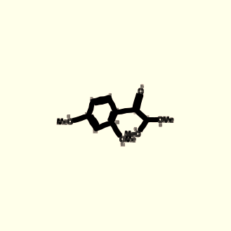 COc1ccc(C(=O)C(OC)OC)c(OC)c1